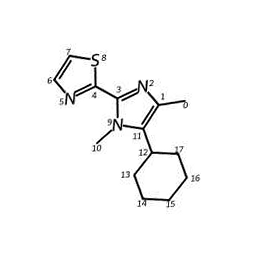 Cc1nc(-c2nccs2)n(C)c1C1CCCCC1